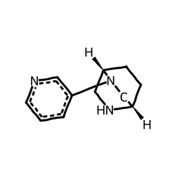 c1cncc(N2C[C@@H]3CC[C@H]2CN3)c1